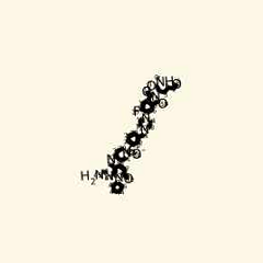 CNC(=O)C(CCC=O)N1C(=O)c2cc(F)c(N3CCN(Cc4cccc([S+]([O-])N5CCC(/N=C\c6ccc(=O)n(C7CCCC7)c6/N=C/N)CC5)c4)CC3)cc2C1=O